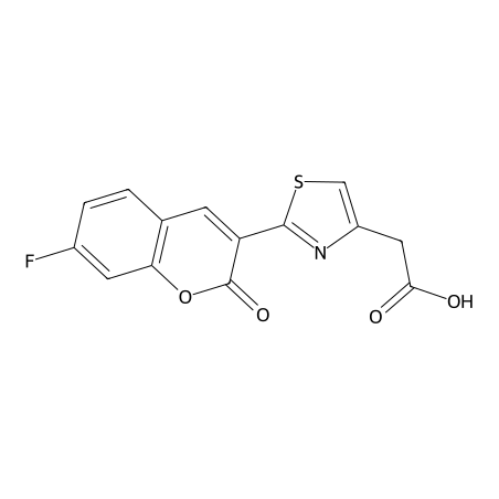 O=C(O)Cc1csc(-c2cc3ccc(F)cc3oc2=O)n1